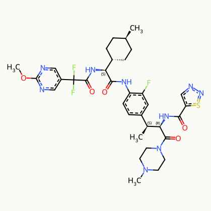 COc1ncc(C(F)(F)C(=O)N[C@H](C(=O)Nc2ccc([C@H](C)[C@@H](NC(=O)c3cnns3)C(=O)N3CCN(C)CC3)cc2F)[C@H]2CC[C@H](C)CC2)cn1